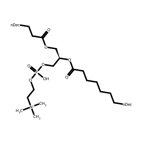 CCCCCCCCCCCCCCCCC(=O)O[C@H](COC(=O)CCCCCCCCCCCC)COP(=O)(O)OCC[N+](C)(C)C